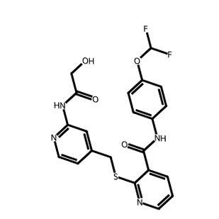 O=C(CO)Nc1cc(CSc2ncccc2C(=O)Nc2ccc(OC(F)F)cc2)ccn1